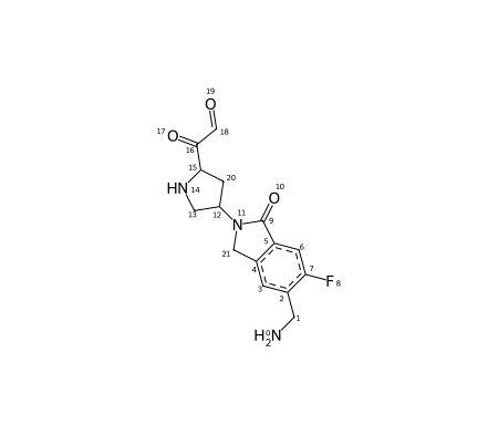 NCc1cc2c(cc1F)C(=O)N(C1CNC(C(=O)C=O)C1)C2